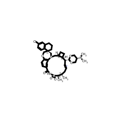 C[C@@H]1[C@@H](C)C/C=C/C([C@H]2OC[C@@H](N(C)C)CO2)[C@@H]2CC[C@H]2CN2C[C@@]3(CCCc4cc(Cl)ccc43)COc3ccc(cc32)C(=O)NS1(=O)=O